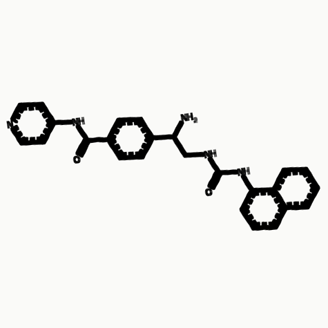 NC(CNC(=O)Nc1cccc2ccccc12)c1ccc(C(=O)Nc2ccncc2)cc1